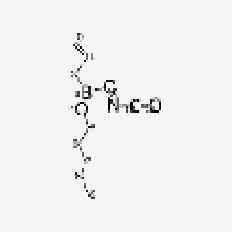 C=CCB(OCCCCC)ON=C=O